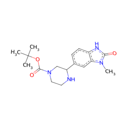 Cn1c(=O)[nH]c2ccc(C3CN(C(=O)OC(C)(C)C)CCN3)cc21